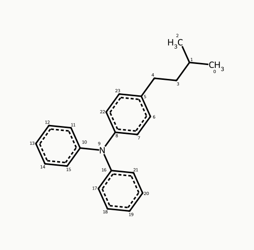 CC(C)CCc1ccc(N(c2ccccc2)c2ccccc2)cc1